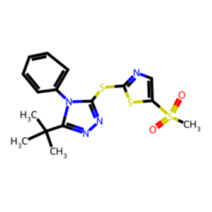 CC(C)(C)c1nnc(Sc2ncc(S(C)(=O)=O)s2)n1-c1ccccc1